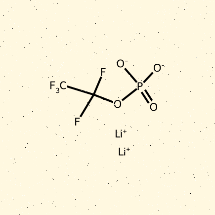 O=P([O-])([O-])OC(F)(F)C(F)(F)F.[Li+].[Li+]